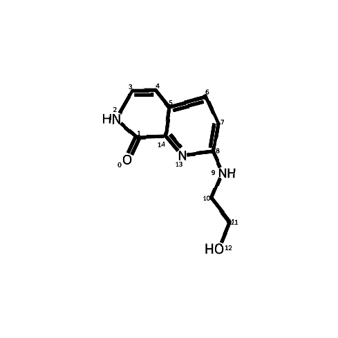 O=c1[nH]ccc2ccc(NCCO)nc12